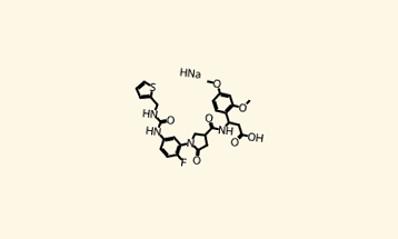 COc1ccc(C(CC(=O)O)NC(=O)C2CC(=O)N(c3cc(NC(=O)NCc4cccs4)ccc3F)C2)c(OC)c1.[NaH]